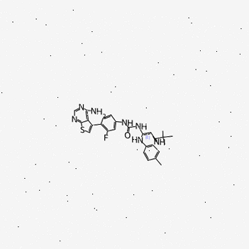 Cc1ccc(N/C(=C\C(=N)C(C)(C)C)NC(=O)Nc2ccc(-c3csc4ncnc(N)c34)c(F)c2)cc1